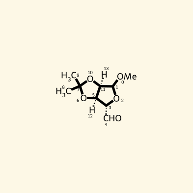 COC1O[C@H](C=O)[C@H]2OC(C)(C)O[C@@H]12